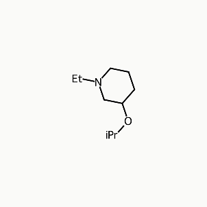 [CH2]CN1CCCC(OC(C)C)C1